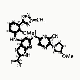 COc1c(Nc2cc(Nc3cnc(N4CC[C@@H](OC)C4)c(C#N)n3)nc3[nH]c(C(F)F)nc23)cccc1-c1nnn(C)n1